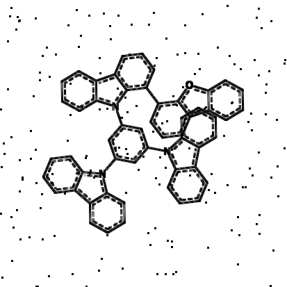 c1ccc2c(c1)oc1c(-c3cccc4c5ccccc5n(-c5cc(-n6c7ccccc7c7ccccc76)cc(-n6c7ccccc7c7ccccc76)c5)c34)cccc12